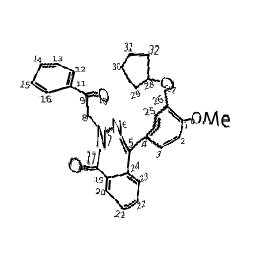 COc1ccc(-c2nn(CC(=O)c3ccccc3)c(=O)c3ccccc23)cc1OC1CCCC1